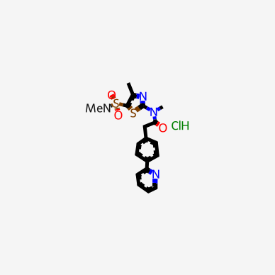 CNS(=O)(=O)c1sc(N(C)C(=O)Cc2ccc(-c3ccccn3)cc2)nc1C.Cl